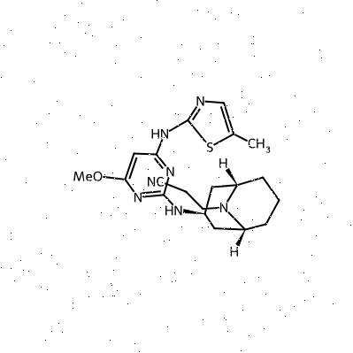 COc1cc(Nc2ncc(C)s2)nc(N[C@@H]2C[C@H]3CCC[C@@H](C2)N3CCC#N)n1